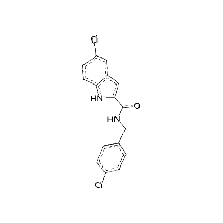 O=C(NCc1ccc(Cl)cc1)c1cc2cc(Cl)ccc2[nH]1